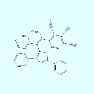 N#Cc1cc2c(c(C#N)c1C#N)c1ccc3ccccc3c1c1c(-c3ccccc3)cc(-c3ccccc3)n21